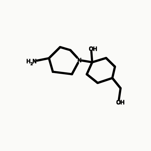 NC1CCN(C2(O)CCC(CO)CC2)CC1